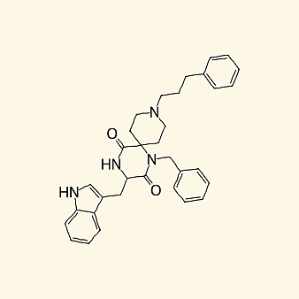 O=C1C(Cc2c[nH]c3ccccc23)NC(=O)C2(CCN(CCCc3ccccc3)CC2)N1Cc1ccccc1